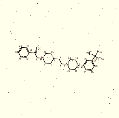 O=C(CN1CCC(CCN2CCN(c3cccc(C(F)(F)F)c3)CC2)CC1)c1ccccc1